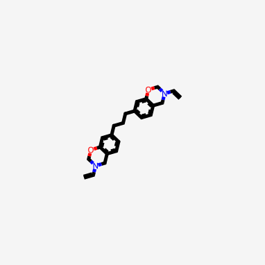 C=CN1COc2cc(CCCc3ccc4c(c3)OCN(C=C)C4)ccc2C1